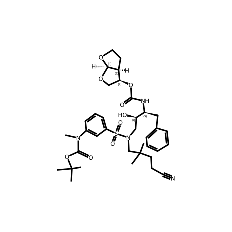 CN(C(=O)OC(C)(C)C)c1cccc(S(=O)(=O)N(C[C@@H](O)[C@H](Cc2ccccc2)NC(=O)O[C@H]2CO[C@H]3OCC[C@H]32)CC(C)(C)CCC#N)c1